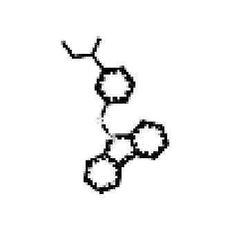 CCC(C)c1cccc(On2c3ccccc3c3ccccc32)c1